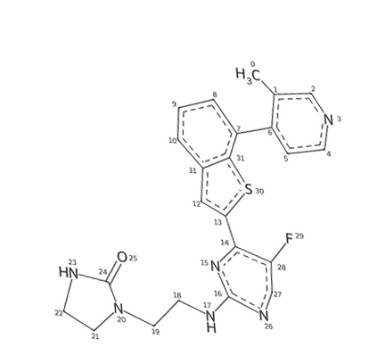 Cc1cnccc1-c1cccc2cc(-c3nc(NCCN4CCNC4=O)ncc3F)sc12